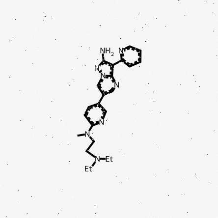 CCN(CC)CCN(C)c1ccc(-c2cnc3c(-c4ccccn4)c(N)nn3c2)cn1